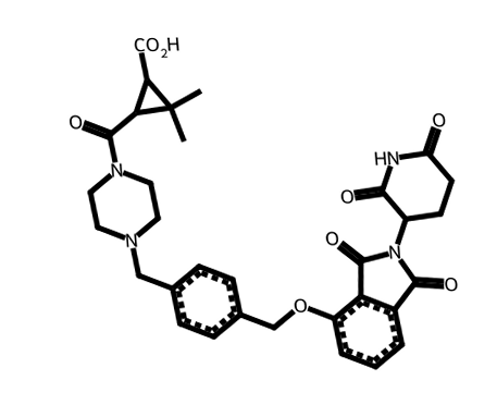 CC1(C)C(C(=O)O)C1C(=O)N1CCN(Cc2ccc(COc3cccc4c3C(=O)N(C3CCC(=O)NC3=O)C4=O)cc2)CC1